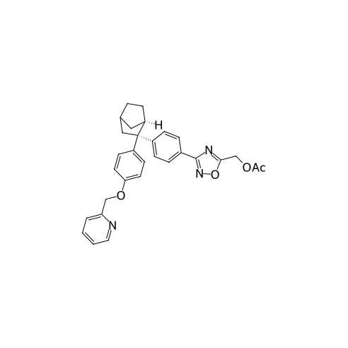 CC(=O)OCc1nc(-c2ccc([C@]3(c4ccc(OCc5ccccn5)cc4)CC4CC[C@@H]3C4)cc2)no1